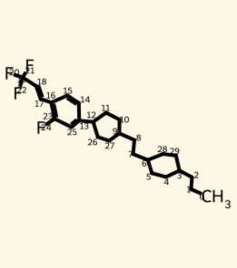 CCCC1CCC(CCC2CCC(c3ccc(/C=C/C(F)(F)F)c(F)c3)CC2)CC1